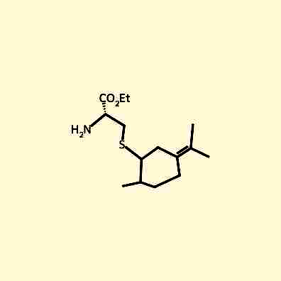 CCOC(=O)[C@@H](N)CSC1CC(=C(C)C)CCC1C